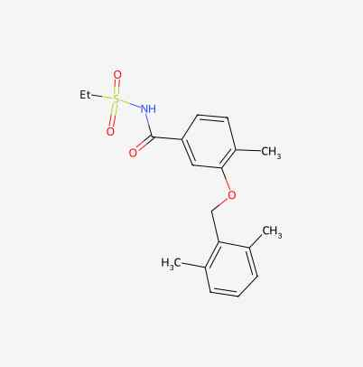 CCS(=O)(=O)NC(=O)c1ccc(C)c(OCc2c(C)cccc2C)c1